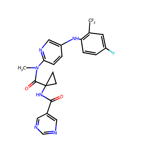 CN(C(=O)C1(NC(=O)c2cncnc2)CC1)c1ccc(Nc2ccc(F)cc2C(F)(F)F)cn1